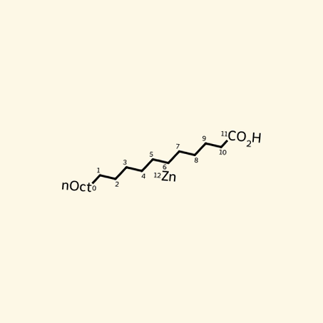 CCCCCCCCCCCCCCCCCCC(=O)O.[Zn]